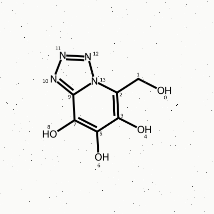 OCc1c(O)c(O)c(O)c2nnnn12